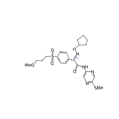 COCCCS(=O)(=O)c1ccc(/C(=N\OC2CCCC2)C(=O)Nc2cnc(SC)cn2)cc1